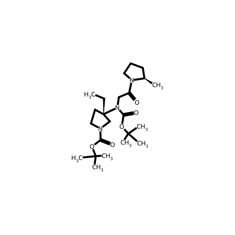 CC[C@]1(N(CC(=O)N2CCC[C@H]2C)C(=O)OC(C)(C)C)CCN(C(=O)OC(C)(C)C)C1